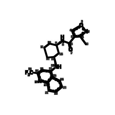 Cc1nocc1C(=O)N[C@@H]1CCC[C@H](Nc2cc(C(F)(F)F)nc3ccccc23)C1